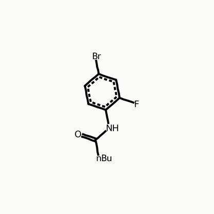 CCCCC(=O)Nc1ccc(Br)cc1F